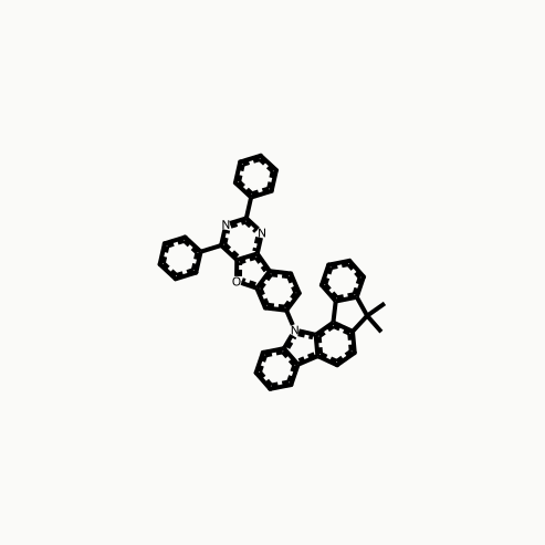 CC1(C)c2ccccc2-c2c1ccc1c3ccccc3n(-c3ccc4c(c3)oc3c(-c5ccccc5)nc(-c5ccccc5)nc34)c21